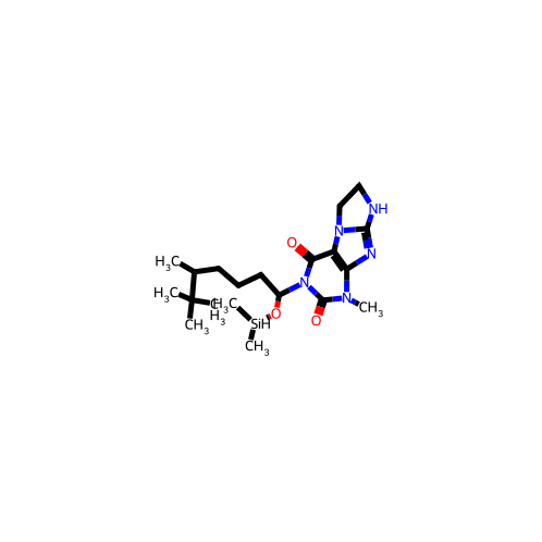 CC(CCCC(O[SiH](C)C)n1c(=O)c2c(nc3n2CCN3)n(C)c1=O)C(C)(C)C